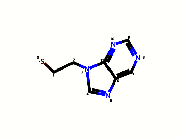 [S]CCn1cnc2cncnc21